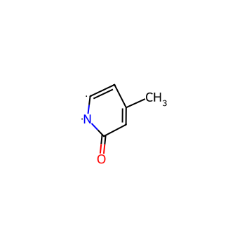 CC1=CC(=O)[N][C]=C1